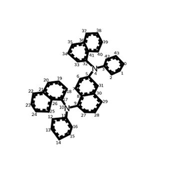 c1ccc(N(c2ccc3c(N(c4ccccc4)c4cccc5ccccc45)cccc3c2)c2cccc3ccccc23)cc1